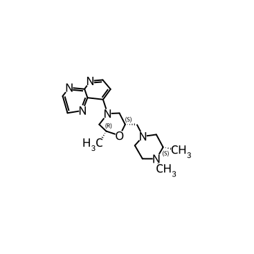 C[C@@H]1CN(c2ccnc3nccnc23)C[C@H](CN2CCN(C)[C@@H](C)C2)O1